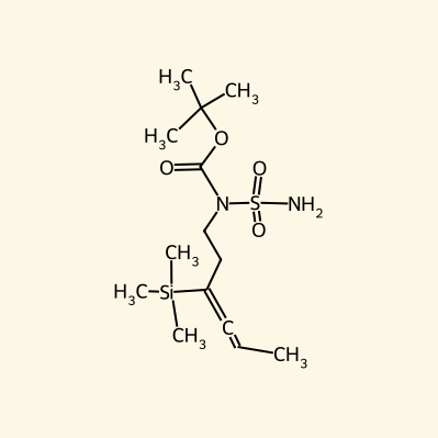 CC=C=C(CCN(C(=O)OC(C)(C)C)S(N)(=O)=O)[Si](C)(C)C